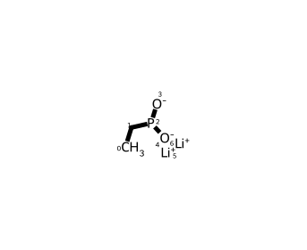 CCP([O-])[O-].[Li+].[Li+]